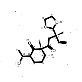 C=C[C@](C)(CC(=O)[C@@]1(C)C(=O)C(C(C)O)CC[C@H]1C)C1OCCO1